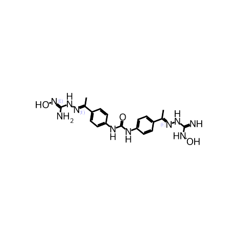 C/C(=N\NC(=N)NO)c1ccc(NC(=O)Nc2ccc(/C(C)=N/N/C(N)=N/O)cc2)cc1